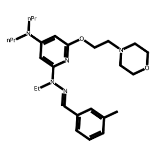 CCCN(CCC)c1cc(OCCN2CCOCC2)nc(N(CC)/N=C/c2cccc(C)c2)c1